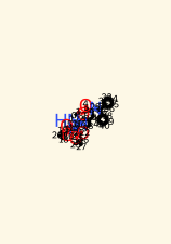 CCOC(=O)C(CC1=CCN(C(=N)N(C(=O)OC(C)(C)C)C(=O)OC(C)(C)C)C1)N=C(c1ccccc1)c1ccccc1